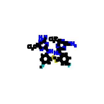 Nc1nc(Nc2ccc(F)cc2SSc2cc(F)ccc2Nc2nc(N)nc(C(Cl)(Cl)Cl)n2)nc(C(Cl)(Cl)Cl)n1